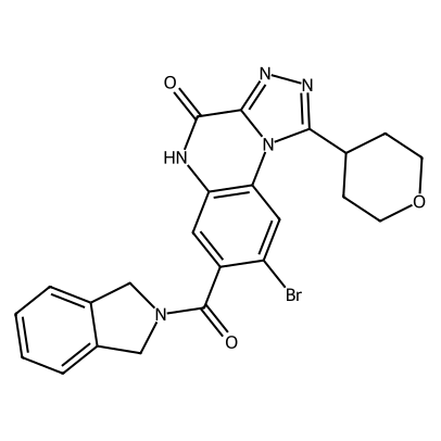 O=C(c1cc2[nH]c(=O)c3nnc(C4CCOCC4)n3c2cc1Br)N1Cc2ccccc2C1